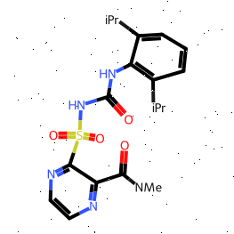 CNC(=O)c1nccnc1S(=O)(=O)NC(=O)Nc1c(C(C)C)cccc1C(C)C